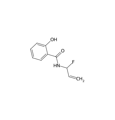 C=CC(F)NC(=O)c1ccccc1O